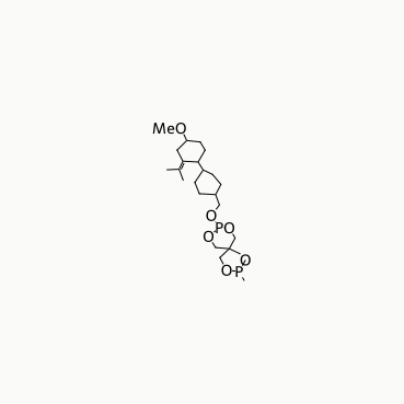 COC1CCC(C2CCC(COP3OCC4(COP(C)OC4)CO3)CC2)C(=C(C)C)C1